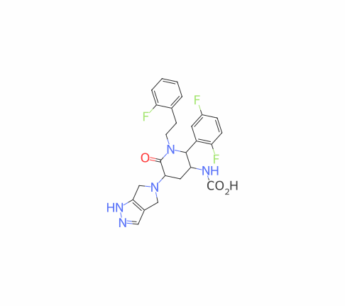 O=C(O)NC1CC(N2Cc3cn[nH]c3C2)C(=O)N(CCc2ccccc2F)C1c1cc(F)ccc1F